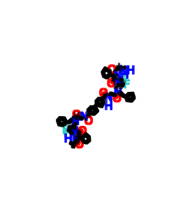 CN[C@@H](C)C(=O)N[C@H](C(=O)N1CC(F)(F)C[C@H]1CN(CCc1ccccc1)C(=O)CNC(=O)c1ccc(-c2ccc(C(=O)NCC(=O)N(CCc3ccccc3)C[C@@H]3CC(F)(F)CN3C(=O)[C@@H](NC(=O)C(C)C)C3CCCCC3)cc2)cc1)C1CCCCC1